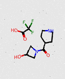 O=C(C1CCNCC1)N1CC(O)C1.O=C(O)C(F)(F)F